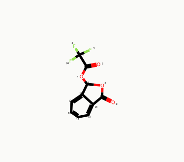 O=C1OC(OC(=O)C(F)(F)F)c2ccccc21